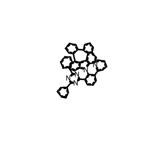 c1ccc(-c2nc(-c3ccccc3)nc(-c3cccc(-c4ccccn4)c3-n3c4cccc5c4c4c6c(cccc6ccc43)-c3ccccc3-5)n2)cc1